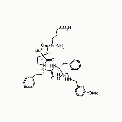 CC[C@H](C)[C@@]1(NC(=O)[C@@H](N)CCCC(=O)O)CCN([C@@H](CCc2ccccc2)C(=O)N[C@@H](Cc2ccccc2)[C@H](O)CNCc2cccc(OC)c2)C1=O